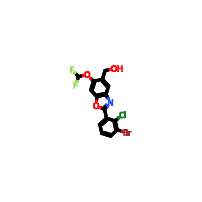 OCc1cc2nc(-c3cccc(Br)c3Cl)oc2cc1OC(F)F